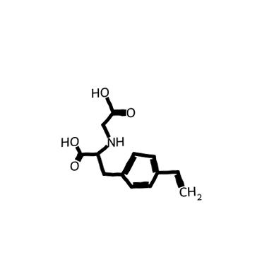 C=Cc1ccc(CC(NCC(=O)O)C(=O)O)cc1